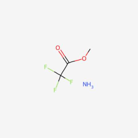 COC(=O)C(F)(F)F.N